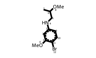 COc1cc(NCC(C)OC)ccc1Br